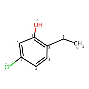 CCc1ccc(Cl)cc1O